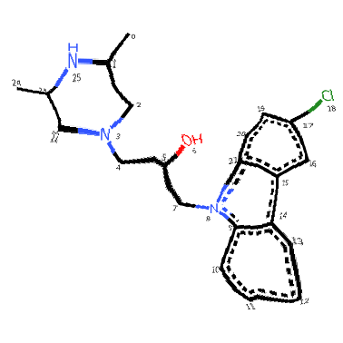 CC1CN(CC(O)Cn2c3ccccc3c3cc(Cl)ccc32)CC(C)N1